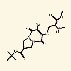 CNC(CSc1c(Br)c(=O)n2n(c1=O)CC(C(=O)OC(C)(C)C)C2)C(=O)OC